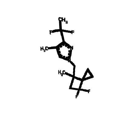 Cc1cn(CC2(C)CC(F)(F)C23CC3)nc1C(C)(F)F